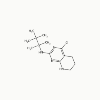 CC(C)(C)[Si](C)(C)Nc1nc(Cl)c2c(n1)NCCC2